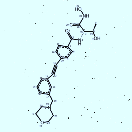 C[C@@H](O)[C@H](NC(=O)c1ccc(C#Cc2cccc(CN3CCOCC3)c2)cc1)C(=O)NO